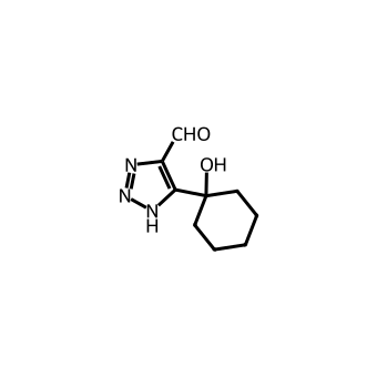 O=Cc1nn[nH]c1C1(O)CCCCC1